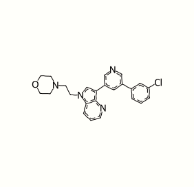 Clc1cccc(-c2cncc(-c3cn(CCN4CCOCC4)c4cccnc34)c2)c1